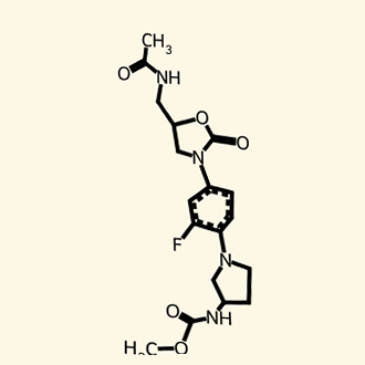 COC(=O)NC1CCN(c2ccc(N3CC(CNC(C)=O)OC3=O)cc2F)C1